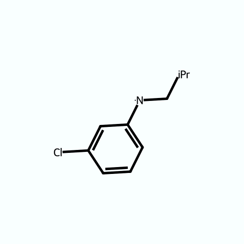 CC(C)C[N]c1cccc(Cl)c1